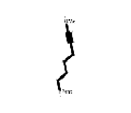 [CH2]OC#CCCCCCCCCC